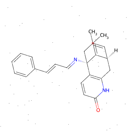 C/C=C1\[C@H]2C=C(C)C[C@]1(/N=C/C=C/c1ccccc1)c1ccc(=O)[nH]c1C2